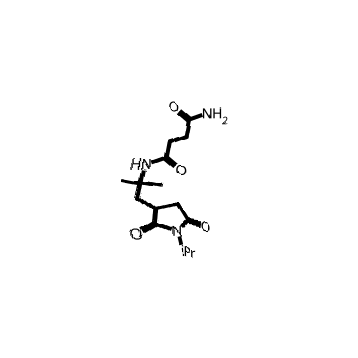 CC(C)N1C(=O)CC(CC(C)(C)NC(=O)CCC(N)=O)C1=O